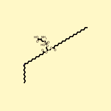 CCCCCCCC/C=C\CCCCCCCCCC(=O)O[C@H](COC(=O)CCCCCCCCCCCCCCCCCC)COP(=O)(O)OC[C@H](N)C(=O)O